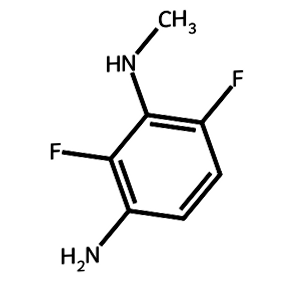 CNc1c(F)ccc(N)c1F